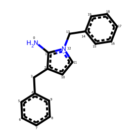 Nc1c(Cc2ccccc2)ccn1Cc1ccccc1